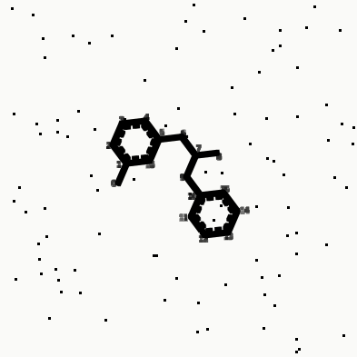 Cc1cccc([CH]C(C)Cc2ccccc2)c1